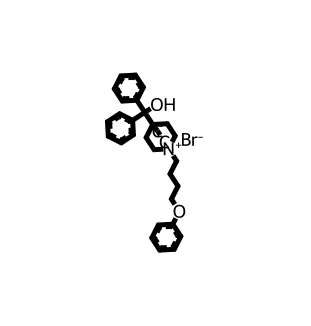 OC(c1ccccc1)(c1ccccc1)C12CC[N+](CCCCOc3ccccc3)(CC1)CC2.[Br-]